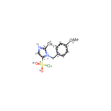 COc1ccc(Cn2c(S(=O)(=O)Cl)cnc2C)cc1